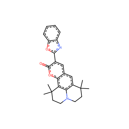 CC1(C)CCN2CCC(C)(C)c3c2c1cc1cc(-c2nc4ccccc4o2)c(=O)oc31